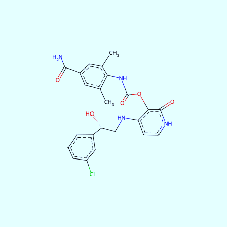 Cc1cc(C(N)=O)cc(C)c1NC(=O)Oc1c(NC[C@@H](O)c2cccc(Cl)c2)cc[nH]c1=O